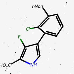 CCCCCCCCCc1cccc(-c2c[nH]c(C(=O)O)c2F)c1Cl